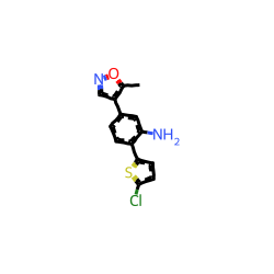 Cc1oncc1-c1ccc(-c2ccc(Cl)s2)c(N)c1